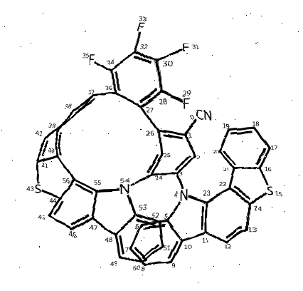 N#Cc1cc(-n2c3ccccc3c3ccc4sc5ccccc5c4c32)c2cc1c1c(F)c(F)c(F)c(F)c1c1ccc3c(c1)sc1ccc4c5ccccc5n2c4c13